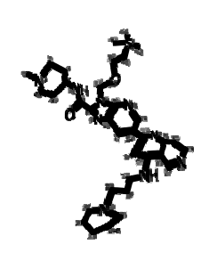 CN1CCC(NC(=O)c2nc3cc(-c4cc(NCCCN5CCCCC5)c5cnccc5n4)cnc3n2COCC[Si](C)(C)C)CC1